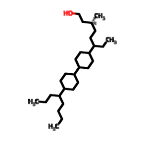 CCCCC(CCC)C1CCC(C2CCC(C(CC)CC[C@@H](C)CCO)CC2)CC1